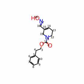 O=C(OCCc1ccccc1)N1CCC=C(/C=N/O)C1